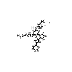 CCc1cc(Nc2cc(OCCOC)nc(N3CCCC3c3cc(-c4ccccn4)no3)n2)n[nH]1